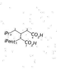 CC(C)CCCC(=O)O.CCCC(C)CC(=O)O